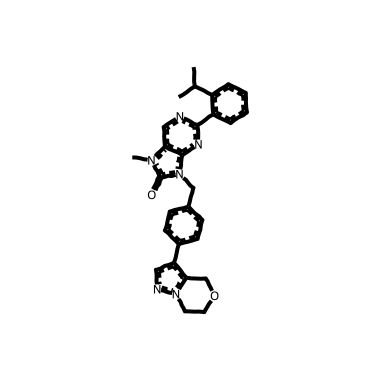 CC(C)c1ccccc1-c1ncc2c(n1)n(Cc1ccc(-c3cnn4c3COCC4)cc1)c(=O)n2C